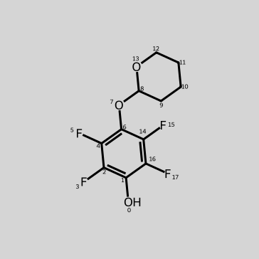 Oc1c(F)c(F)c(OC2CCCCO2)c(F)c1F